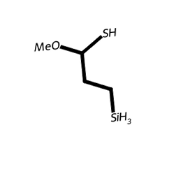 COC(S)CC[SiH3]